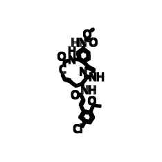 COC(=O)Nc1ccc2c(c1)NC(=O)CC/C=C/C[C@H](NC(=O)/C=C/c1cc(Cl)ccc1C(C)=O)c1nc-2c[nH]1